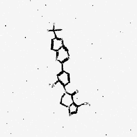 Cc1cc(-c2ncc3nc(C(F)(F)F)ccc3n2)ccc1N1CCn2ncc(C)c2C1=O